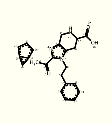 CC(=O)c1nc2c(n1CCc1ccccc1)CC(C(=O)O)NC2.c1cc2cc-2c1